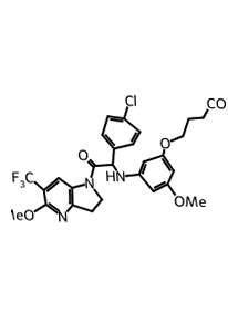 COc1cc(NC(C(=O)N2CCc3nc(OC)c(C(F)(F)F)cc32)c2ccc(Cl)cc2)cc(OCCCC(=O)O)c1